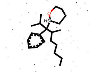 CCCCCC(C)C(c1ccccc1)(C(C)C)[SiH]1CCCCO1